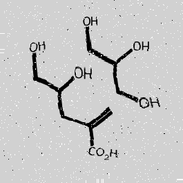 C=C(CC(O)CO)C(=O)O.OCC(O)CO